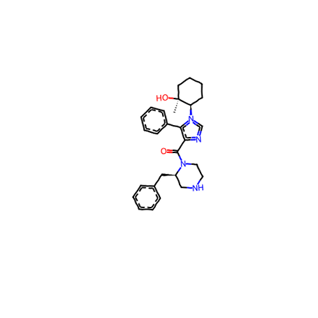 C[C@]1(O)CCCC[C@H]1n1cnc(C(=O)N2CCNC[C@H]2Cc2ccccc2)c1-c1ccccc1